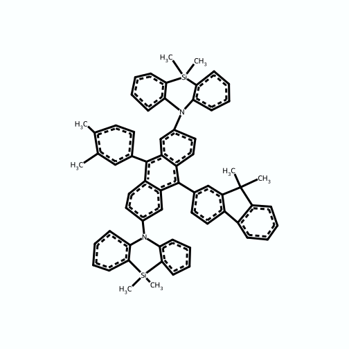 Cc1ccc(-c2c3ccc(N4c5ccccc5[Si](C)(C)c5ccccc54)cc3c(-c3ccc4c(c3)C(C)(C)c3ccccc3-4)c3ccc(N4c5ccccc5[Si](C)(C)c5ccccc54)cc23)cc1C